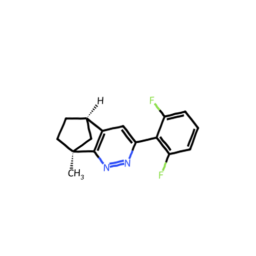 C[C@]12CC[C@H](C1)c1cc(-c3c(F)cccc3F)nnc12